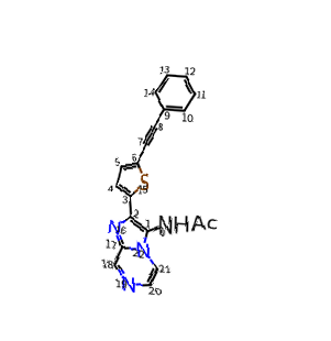 CC(=O)Nc1c(-c2ccc(C#Cc3ccccc3)s2)nc2cnccn12